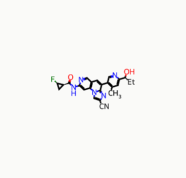 CC[C@H](O)c1cc(C)c(-c2cc3cnc(NC(=O)[C@H]4C[C@H]4F)cc3n3cc(C#N)nc23)cn1